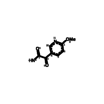 COc1ccc(C(=O)C([NH])=O)cn1